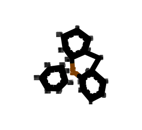 c1ccc2c(c1)Cc1ccccc1S2.c1ccccc1